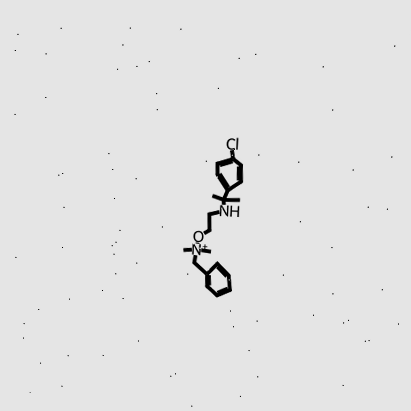 CC(C)(NCCO[N+](C)(C)Cc1ccccc1)c1ccc(Cl)cc1